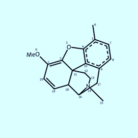 COC1=C2Oc3c(C)ccc4c3C23CCN(C)C(C4)C3C=C1